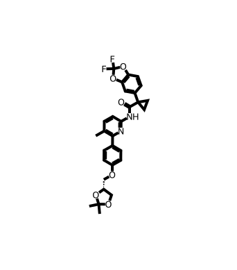 Cc1ccc(NC(=O)C2(c3ccc4c(c3)OC(F)(F)O4)CC2)nc1-c1ccc(OC[C@@H]2COC(C)(C)O2)cc1